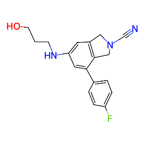 N#CN1Cc2cc(NCCCO)cc(-c3ccc(F)cc3)c2C1